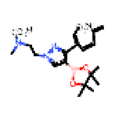 C=C(/C=C\C(=C/C)c1nn(CCN(C)C(=O)O)cc1B1OC(C)(C)C(C)(C)O1)[N+](=O)[O-]